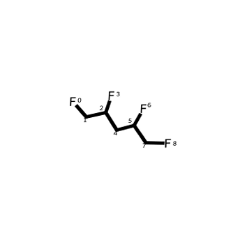 FCC(F)CC(F)CF